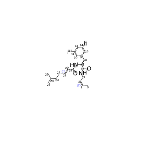 C/C=C\CNC(=O)[C@H](Cc1cc(F)cc(F)c1)NC(=O)/C=C/CCC(C)C